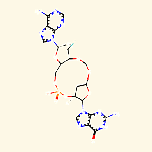 C[C@@H](OC1COP(=O)(O)O[C@H]2C[C@@H](OCO[C@@H]1CF)OC2n1cnc2c(=O)[nH]c(N)nc21)n1cnc2c(N)ncnc21